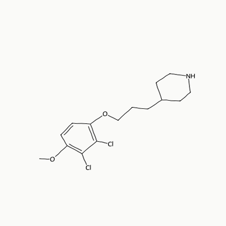 COc1ccc(OCCCC2CCNCC2)c(Cl)c1Cl